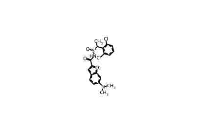 CC(c1c(Cl)cccc1Cl)[S+]([O-])NC(=O)c1cc2ccc(N(C)C)cc2o1